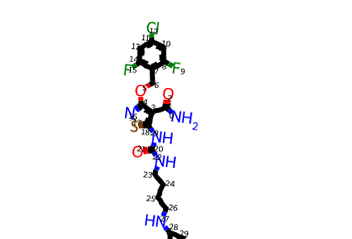 NC(=O)c1c(OCc2c(F)cc(Cl)cc2F)nsc1NC(=O)NCCCCNC1CC1